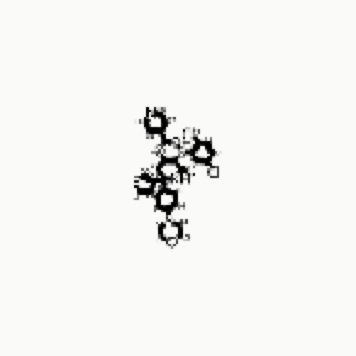 O=C1NC(c2ccc(N3CCOCC3)cc2)(c2ccsc2)CC(OC(O)c2ccncc2)=C1Sc1cc(Cl)ccc1Cl